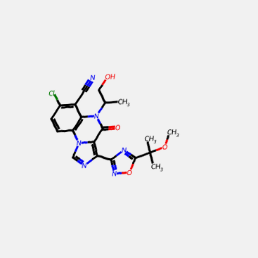 COC(C)(C)c1nc(-c2ncn3c2c(=O)n(C(C)CO)c2c(C#N)c(Cl)ccc23)no1